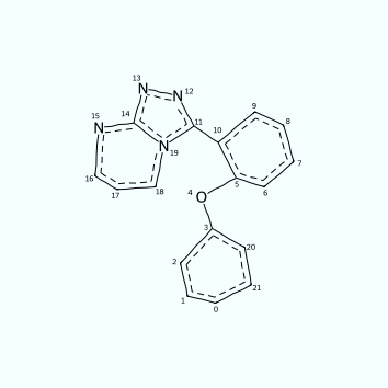 c1ccc(Oc2ccccc2-c2nnc3ncccn23)cc1